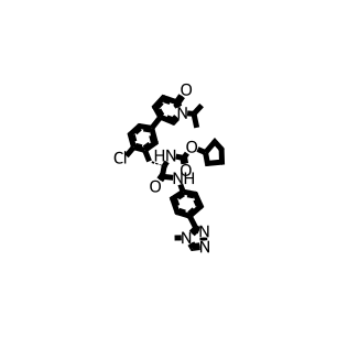 CC(C)n1cc(-c2ccc(Cl)c(C[C@H](NC(=O)OC3CCCC3)C(=O)Nc3ccc(-c4nncn4C)cc3)c2)ccc1=O